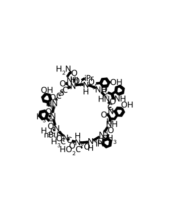 CCCC[C@H]1C(=O)N(C)CC(=O)N[C@@H](CC(=O)O)C(=O)N[C@@H](C(C)C)C(=O)N(C)[C@@H](Cc2ccccc2)C(=O)N[C@H]2Cc3ccc(O)cc3N(CC(=O)N[C@@H](Cc3c[nH]c4ccccc34)C(=O)N[C@@H](Cc3ccc(O)cc3)C(=O)N[C@@H](CC(C)C)C(=O)N[C@H](C(=O)NCC(N)=O)CSCC(=O)N[C@@H](Cc3ccc(O)cc3)C(=O)N(C)[C@@H](Cc3ccccc3)C(=O)N1C)C2=O